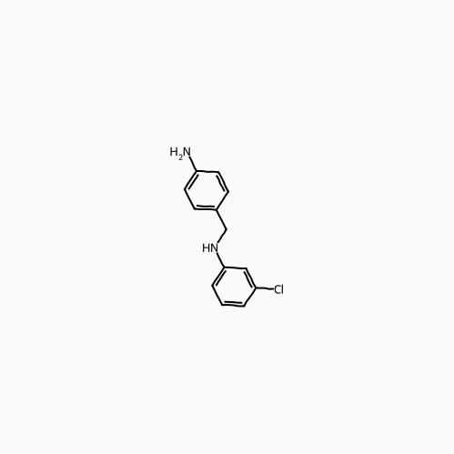 Nc1ccc(CNc2cccc(Cl)c2)cc1